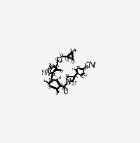 Cc1cc(C)c(-c2[nH]nc(COCC3CC3)c2C)cc1C(=O)N1CC(c2ccc(C#N)cc2)C1